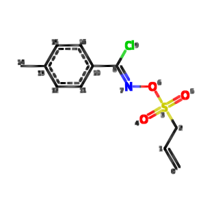 C=CCS(=O)(=O)ON=C(Cl)c1ccc(C)cc1